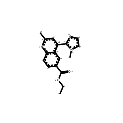 CCOC(=O)c1ccc2nc(C)cc(-c3nccn3C)c2c1